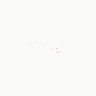 CN1CCN(C(=O)c2cccc(-c3ccc(O[C@@H]4O[C@H](CO)[C@@H](O)[C@H](O)C4O)cc3)c2)CC1